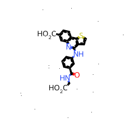 O=C(O)CNC(=O)c1cccc(Nc2nc3cc(C(=O)O)ccc3c3sccc23)c1